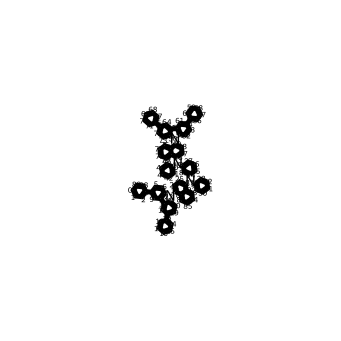 c1ccc(-c2ccc3c(c2)c2cc(-c4ccccc4)ccc2n3-c2ccc(N(c3ccccc3)c3cccc(N(c4ccccc4)c4ccc(-n5c6ccc(-c7ccccc7)cc6c6cc(-c7ccccc7)ccc65)c5ccccc45)c3)c3ccccc23)cc1